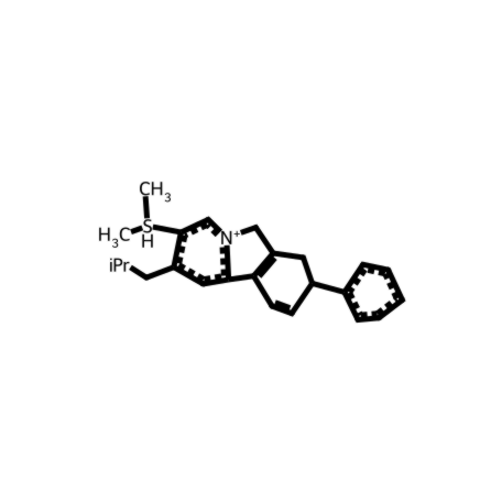 CC(C)Cc1cc2[n+](cc1[SH](C)C)CC1=C2C=CC(c2ccccc2)C1